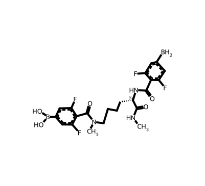 Bc1cc(F)c(C(=O)N[C@@H](CCCCN(C)C(=O)c2c(F)cc(B(O)O)cc2F)C(=O)NC)c(F)c1